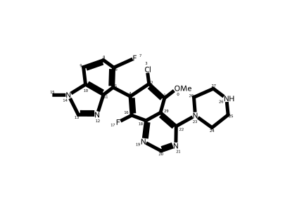 COc1c(Cl)c(-c2c(F)ccc3c2ncn3C)c(F)c2ncnc(N3CCNCC3)c12